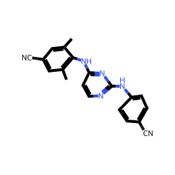 Cc1cc(C#N)cc(C)c1Nc1ccnc(Nc2ccc(C#N)cc2)n1